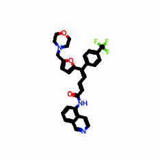 O=C(C=CC=C(c1ccc(C(F)(F)F)cc1)c1ccc(CN2CCOCC2)o1)Nc1cccc2cnccc12